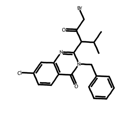 CC(C)C(C(=O)CBr)c1nc2cc(Cl)ccc2c(=O)n1Cc1ccccc1